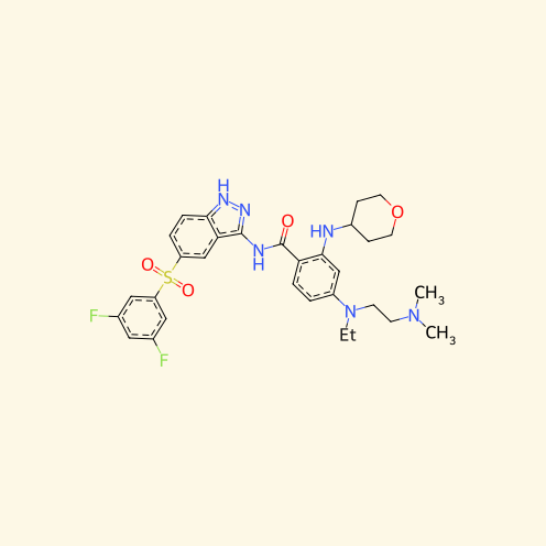 CCN(CCN(C)C)c1ccc(C(=O)Nc2n[nH]c3ccc(S(=O)(=O)c4cc(F)cc(F)c4)cc23)c(NC2CCOCC2)c1